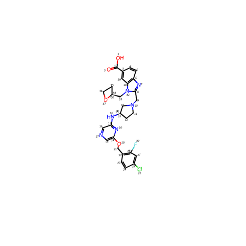 O=C(O)c1ccc2nc(CN3CC[C@@H](Nc4cncc(OCc5ccc(Cl)cc5F)n4)C3)n(C[C@@H]3CCO3)c2c1